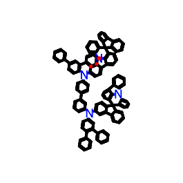 c1ccc(-c2ccc(N(c3ccc(-c4cccc(N(c5ccc(-c6ccccc6)c(-c6ccccc6)c5)c5ccc6c(c5)-c5ccccc5C65c6ccccc6-n6c7ccccc7c7cccc5c76)c4)cc3)c3ccc4c5cccc6c5n(c4c3)-c3ccccc3C63c4ccccc4-c4ccccc43)c(-c3ccccc3)c2)cc1